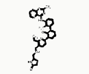 CCc1nc(-c2cccc(-c3cccc(Nc4nc(C)nc5cccnc45)c3C)c2Cl)ccc1CNCC1CCC(=O)N1